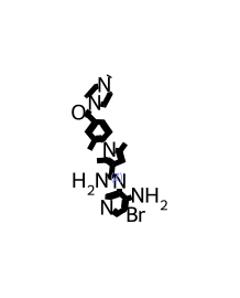 Cc1cc(C(=O)N2CCN(C)CC2)ccc1-n1c(C)cc(/C(N)=N/c2cncc(Br)c2N)c1C